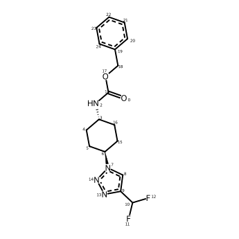 O=C(N[C@H]1CC[C@H](n2cc(C(F)F)nn2)CC1)OCc1ccccc1